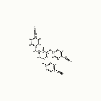 N#Cc1ccc(CC2CN(Cc3ccc(C#N)cc3)NN(Cc3ccc(C#N)cc3)C2)cc1